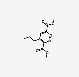 CCCc1cc(C(=O)OC)nnc1C(=O)OC